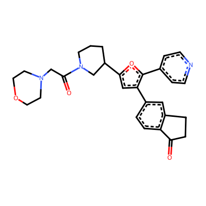 O=C1CCc2cc(-c3cc(C4CCCN(C(=O)CN5CCOCC5)C4)oc3-c3ccncc3)ccc21